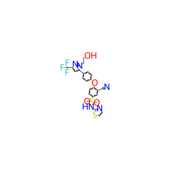 N#Cc1cc(S(=O)(=O)Nc2nccs2)ccc1Oc1ccc(-c2cc(C(F)(F)F)nn2CCO)cc1